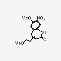 COCCN1CC(=O)Nc2cc([N+](=O)[O-])c(OC)cc2C1